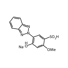 COc1cc(O)c(-n2nc3ccccc3n2)cc1S(=O)(=O)O.[Na]